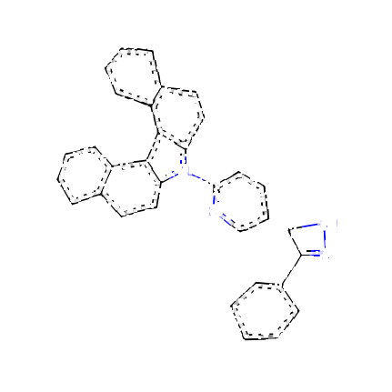 c1ccc(C2=NN[C@H]2c2ccc(-n3c4ccc5ccccc5c4c4c5ccccc5ccc43)nc2)cc1